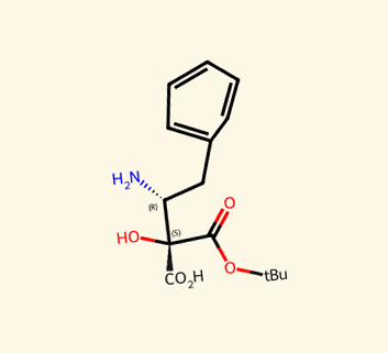 CC(C)(C)OC(=O)[C@@](O)(C(=O)O)[C@H](N)Cc1ccccc1